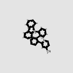 N#Cc1ccnc(-c2ccccc2-c2ccccc2-n2c3ccccc3c3ccccc32)c1